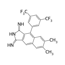 Cc1cc2cc3c(c(-c4cc(C(F)(F)F)cc(C(F)(F)F)c4)c2cc1C)C(=N)NC3=N